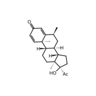 CC(=O)[C@@]1(O)CC[C@H]2[C@@H]3C[C@H](C)C4=CC(=O)C=C[C@]4(C)[C@H]3CC[C@@]21C